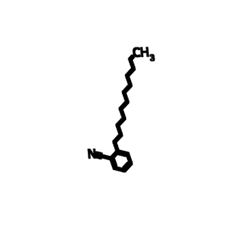 CCCCCCCCCCCCc1ccccc1C#N